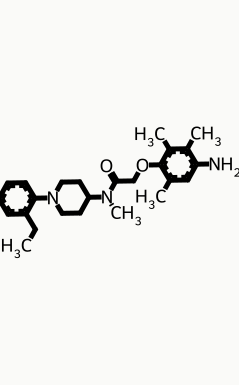 CCc1ccccc1N1CCC(N(C)C(=O)COc2c(C)cc(N)c(C)c2C)CC1